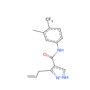 C=CCc1n[nH]cc1C(=O)Nc1ccc(C(F)(F)F)c(C)c1